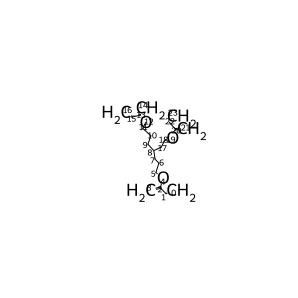 C=CC(=C)OCCCC(CCCOC(=C)C=C)CCOC(=C)C=C